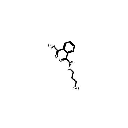 NC(=O)c1ccccc1C(=O)NOCCCO